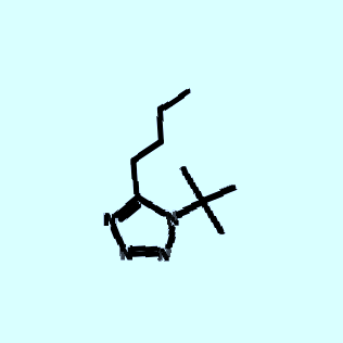 CCCCc1nnnn1C(C)(C)C